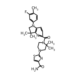 Cc1ccc(N2CC(C)(C)c3nc(C(=O)N4CCN(c5nc(C(N)=O)cs5)CC4(C)C)ccc32)cc1F